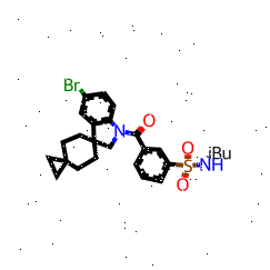 CCC(C)NS(=O)(=O)c1cccc(C(=O)N2CC3(CCC4(CC4)CC3)c3cc(Br)ccc32)c1